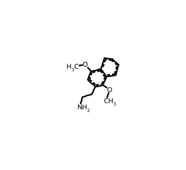 COc1cc(CCN)c(OC)c2ccccc12